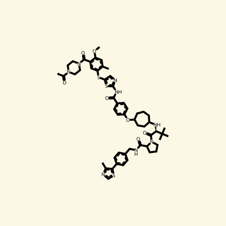 COc1cc(C)c(Sc2cnc(NC(=O)c3ccc(OC4CCCC(N[C@H](C(=O)N5CCCC5C(=O)NCc5ccc(-c6scnc6C)cc5)C(C)(C)C)CC4)cc3)s2)cc1C(=O)N1CCN(C(C)=O)CC1